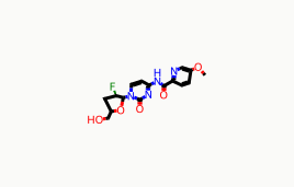 COc1ccc(C(=O)Nc2ccn(C3OC(CO)C[C@H]3F)c(=O)n2)nc1